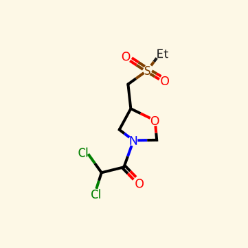 CCS(=O)(=O)CC1CN(C(=O)C(Cl)Cl)CO1